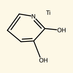 Oc1cccnc1O.[Ti]